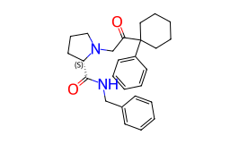 O=C(NCc1ccccc1)[C@@H]1CCCN1CC(=O)C1(c2ccccc2)CCCCC1